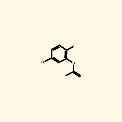 C=C(C)Oc1cc(C(C)C)ccc1F